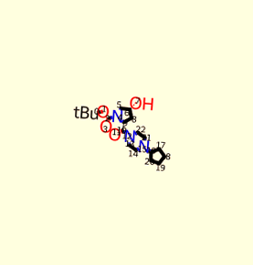 CC(C)(C)OC(=O)N1C[C@H](O)C[C@@H]1C(=O)N1CCN(C2CCCC2)CC1